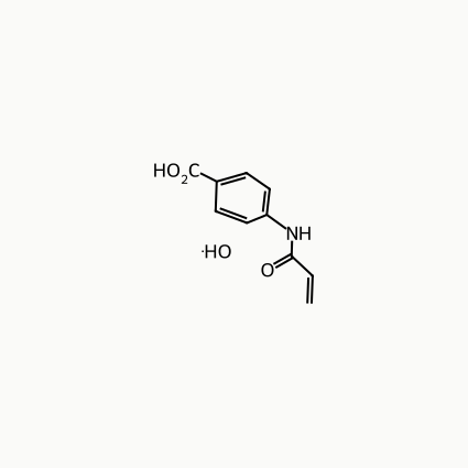 C=CC(=O)Nc1ccc(C(=O)O)cc1.[OH]